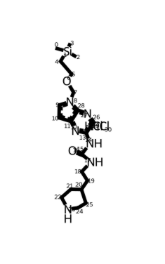 C[Si](C)(C)CCOCn1ccc2nc(NC(=O)NCCC3CCNCC3)cnc21.Cl.Cl